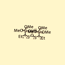 CCC(SOSC(CC)[Si](OC)(OC)OC)[Si](OC)(OC)OC